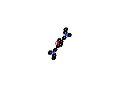 c1ccc(N(c2ccc(-c3cc4c5c(ccc6cc(-c7ccc(N(c8ccccc8)c8ccc9ccccc9c8)cc7)c7cccc(c7c65)O4)c3)cc2)c2ccc3ccccc3c2)cc1